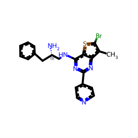 Cc1c(Br)sc2c(NC[C@@H](N)Cc3ccccc3)nc(-c3ccncc3)nc12